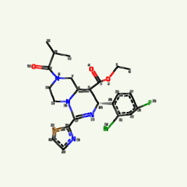 CCOC(=O)C1=C2CN(C(=O)C(C)C)CCN2C(c2nccs2)=N[C@H]1c1ccc(F)cc1Br